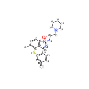 Cc1ccc2c3c1Sc1cc(Cl)ccc1C3=N[N+]2([O-])CCCN1CCCCC1